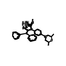 CC1CN(c2ccc(-n3c(C(c4ccccc4)c4ccccc4)n[nH]c3=S)cc2)CC(C)O1